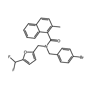 Cc1ccc2ccccc2c1C(=O)N(Cc1ccc(Br)cc1)Cc1ccc(C(F)F)o1